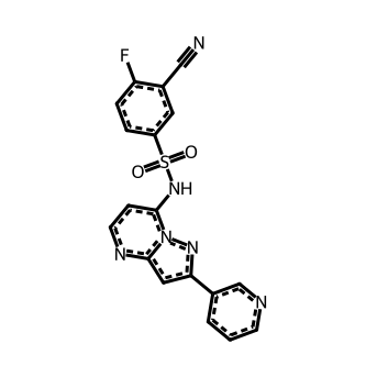 N#Cc1cc(S(=O)(=O)Nc2ccnc3cc(-c4cccnc4)nn23)ccc1F